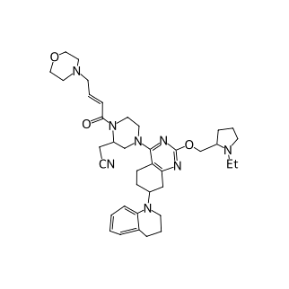 CCN1CCCC1COc1nc2c(c(N3CCN(C(=O)C=CCN4CCOCC4)C(CC#N)C3)n1)CCC(N1CCCc3ccccc31)C2